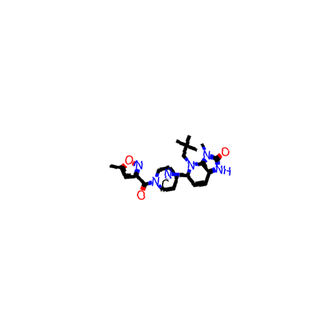 Cc1cc(C(=O)N2CC3CCC2CN3C2C=Cc3[nH]c(=O)n(C)c3N2CC(C)(C)C)no1